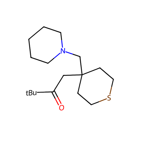 CC(C)(C)C(=O)CC1(CN2CCCCC2)CCSCC1